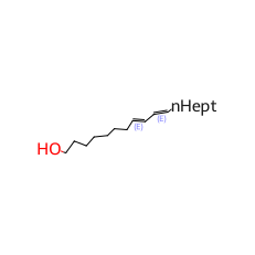 CCCCCCC/C=C/C=C/CCCCCCCO